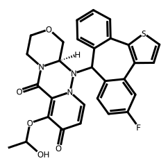 CC(O)Oc1c2n(ccc1=O)N(C1c3ccc(F)cc3-c3ccsc3-c3ccccc31)[C@@H]1COCCN1C2=O